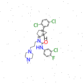 CN1CCN(CCCN(C(=O)Nc2ccc(F)c(Cl)c2)[C@@H]2CC[C@]3(c4cc(Cl)ccc4Cl)C[C@H]23)CC1